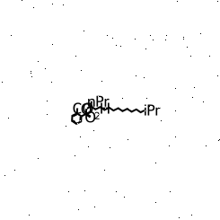 CCCC(CCCCCCCCCCCC(C)C)OC(=O)c1ccccc1C(=O)O